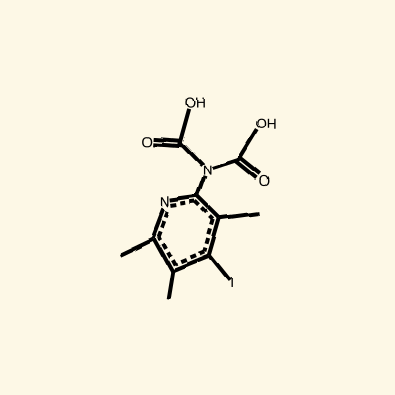 Cc1nc(N(C(=O)O)C(=O)O)c(C)c(I)c1C